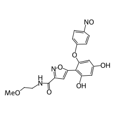 COCCNC(=O)c1cc(-c2c(O)cc(O)cc2Oc2ccc(N=O)cc2)on1